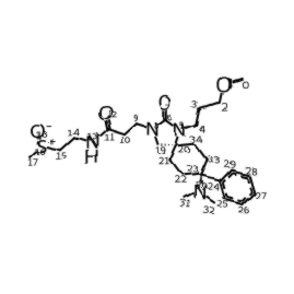 COCCCN1C(=O)N(CCC(=O)NCC[S+](C)[O-])C[C@]12CC[C@](c1ccccc1)(N(C)C)CC2